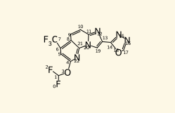 FC(F)Oc1cc(C(F)(F)F)c2ccc3nc(-c4nnco4)cn3c2n1